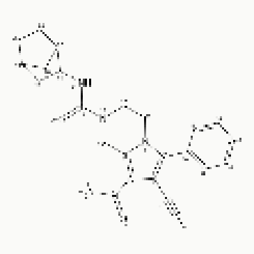 N#Cc1c(C(N)=O)c2n(c1-c1ccccc1)CCN(C(=O)NC1CC3CCC1C3)C2